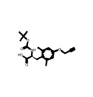 C#CCOc1cc(C)c(C[C@H](NC(=O)OC(C)(C)C)C(=O)O)c(C)c1